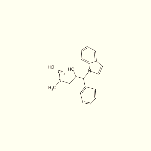 CN(C)CC(O)C(c1ccccc1)n1ccc2ccccc21.Cl